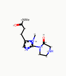 CNC(=O)CCc1cnc(N2CCNCC2=O)n1C